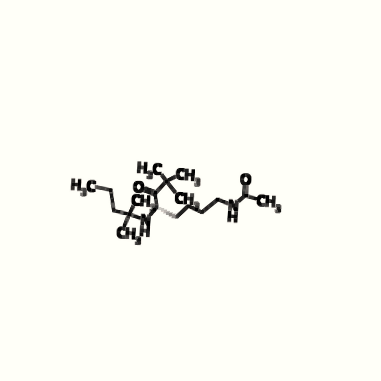 CCCC(C)(C)N[C@@H](CCCCNC(C)=O)C(=O)C(C)(C)C